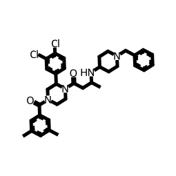 Cc1cc(C)cc(C(=O)N2CCN(C(=O)CC(C)NC3CCN(Cc4ccccc4)CC3)C(c3ccc(Cl)c(Cl)c3)C2)c1